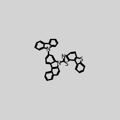 c1ccc2c(c1)ccc1c2c2ccc(-n3c4ccccc4c4ccccc43)cc2n1-c1nc2ccc3sc4ccccc4c3c2s1